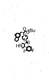 CC(C)(C)OC(=O)[C@H](Cc1ccc2c(c1)CCC2)N1CCN(C(=O)[C@@H]2CNC[C@H]2c2ccc(F)cc2F)CC1